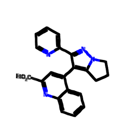 CCOC(=O)c1cc(-c2c(-c3ccccn3)nn3c2CCC3)c2ccccc2n1